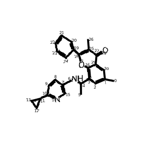 Cc1cc(C(C)Nc2ccc(C3CC3)nc2)c2oc(-c3ccccc3)c(C)c(=O)c2c1